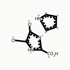 O=C(O)c1nc(Cl)c(Cl)[nH]1.c1cc[nH]c1